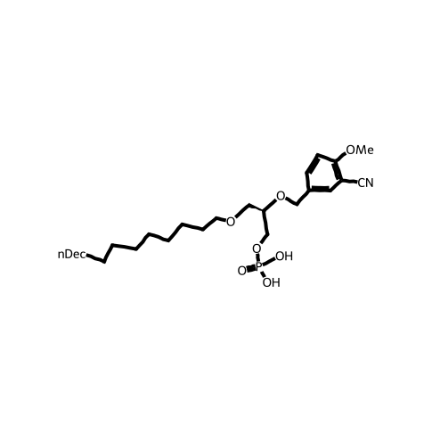 CCCCCCCCCCCCCCCCCCOC[C@H](COP(=O)(O)O)OCc1ccc(OC)c(C#N)c1